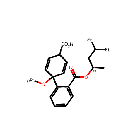 CCCOC1(c2ccccc2C(=O)O[C@H](C)CC(CC)CC)C=CC(C(=O)O)C=C1